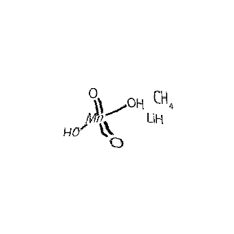 C.[LiH].[O]=[Mn](=[O])([OH])[OH]